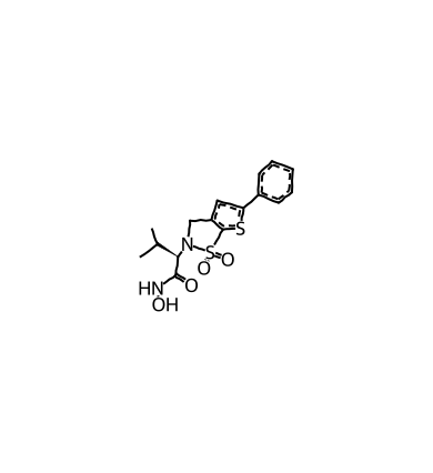 CC(C)[C@H](C(=O)NO)N1Cc2cc(-c3ccccc3)sc2S1(=O)=O